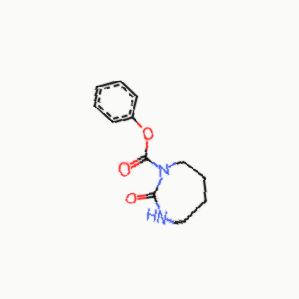 O=C1NCCCCN1C(=O)Oc1ccccc1